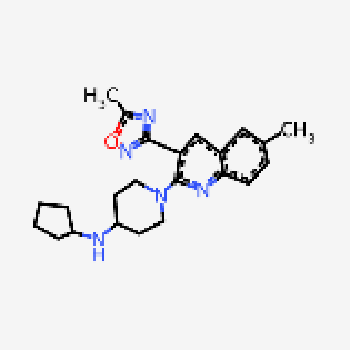 Cc1ccc2nc(N3CCC(NC4CCCC4)CC3)c(-c3noc(C)n3)cc2c1